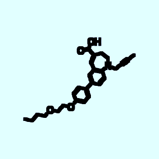 CC#CCN1CCC(C(=O)O)=Cc2cc(-c3ccc(OCCOCCCC)cc3)ccc21